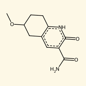 COC1CCc2[nH]c(=O)c(C(N)=O)cc2C1